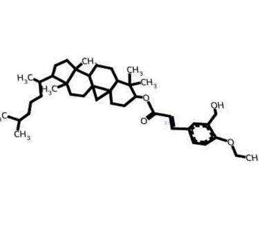 CCOc1ccc(/C=C/C(=O)OC2CCC34CC35CCC3(C)C(C(C)CCCC(C)C)CCC3(C)C5CCC4C2(C)C)cc1CO